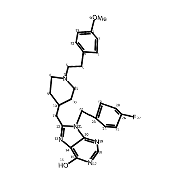 COc1ccc(CCN2CCC(Cc3nc4c(O)ncnc4n3Cc3ccc(F)cc3)CC2)cc1